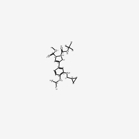 COC(=O)[C@@H]1C=C(c2ccc(OC(F)F)c(OCC3CC3)c2)CN1C(=O)OC(C)(C)C